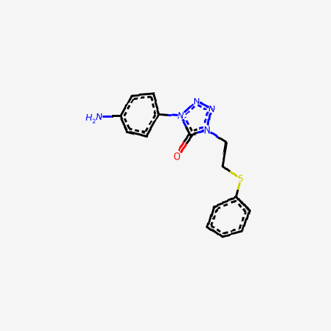 Nc1ccc(-n2nnn(CCSc3ccccc3)c2=O)cc1